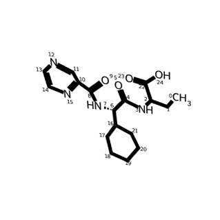 CCC(NC(=O)[C@@H](NC(=O)c1cnccn1)C1CCCCC1)C(=O)O